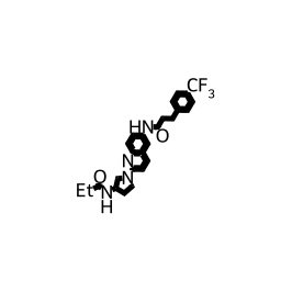 CCC(=O)NC1CCN(c2ccc3cc(NC(=O)CCc4ccc(C(F)(F)F)cc4)ccc3n2)C1